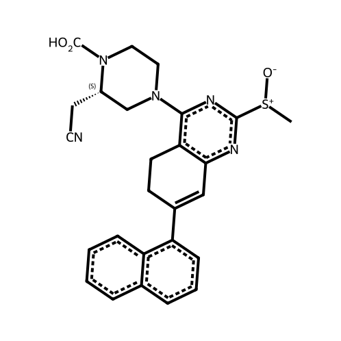 C[S+]([O-])c1nc2c(c(N3CCN(C(=O)O)[C@@H](CC#N)C3)n1)CCC(c1cccc3ccccc13)=C2